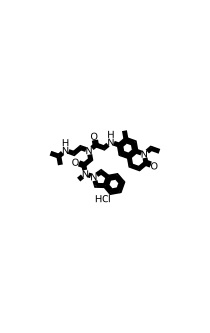 CCN1C(=O)CCc2cc(NCC(=O)N(CCNC(C)C)CC(=O)N(C)N3Cc4ccccc4C3)c(C)cc21.Cl